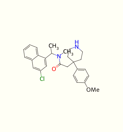 COc1ccc(C2(CC(=O)N(C)C(C)c3cc(Cl)cc4ccccc34)CCNCC2)cc1